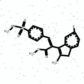 CNS(=O)(=O)c1ccc(C=C(C(=O)OC)C2=C(C)Cc3ccc(F)cc32)cc1